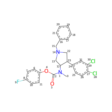 CN(C(=O)Oc1ccc(F)cc1)C1CN(Cc2ccccc2)CC1c1ccc(Cl)c(Cl)c1